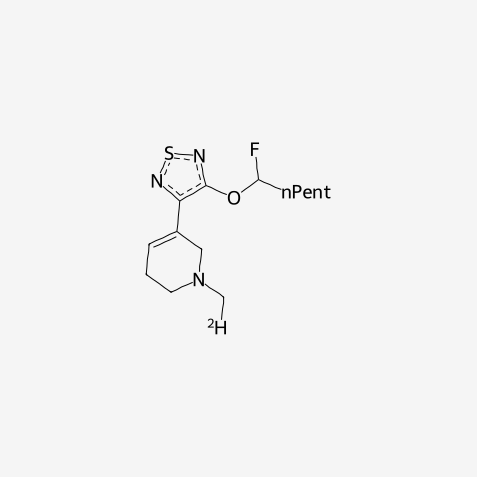 [2H]CN1CCC=C(c2nsnc2OC(F)CCCCC)C1